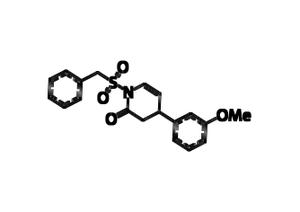 COc1cccc(C2C=CN(S(=O)(=O)Cc3ccccc3)C(=O)C2)c1